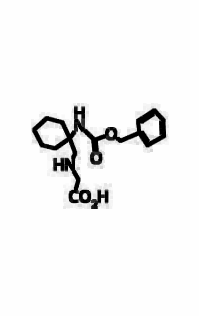 O=C(O)CNCC1(NC(=O)OCc2ccccc2)CCCCC1